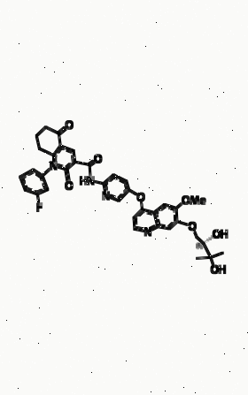 COc1cc2c(Oc3ccc(NC(=O)c4cc5c(n(-c6cccc(F)c6)c4=O)CCCC5=O)nc3)ccnc2cc1OC[C@H](O)C(C)(C)O